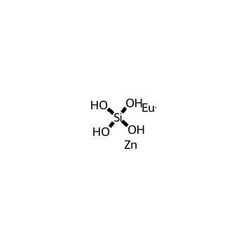 O[Si](O)(O)O.[Eu].[Zn]